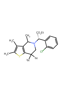 [2H]C1([2H])CN([C@H](C(=O)OCC)c2ccccc2Cl)C(C)c2c1sc(C)c2C